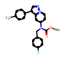 CC(C)(C)OC(=O)N(Cc1ccc(F)cc1)c1ccn2ncc(-c3ccc(C(F)(F)F)cc3)c2c1